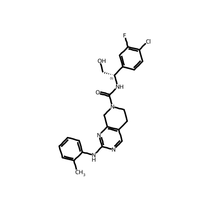 Cc1ccccc1Nc1ncc2c(n1)CN(C(=O)N[C@H](CO)c1ccc(Cl)c(F)c1)CC2